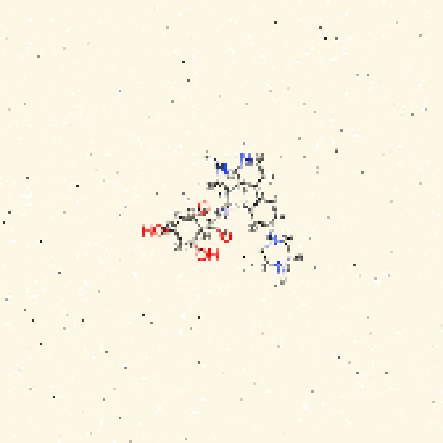 CN1CCN(c2ccc(-c3ccnc4c3c(/C=C3\Oc5cc(O)cc(O)c5C3=O)cn4C)cc2)CC1